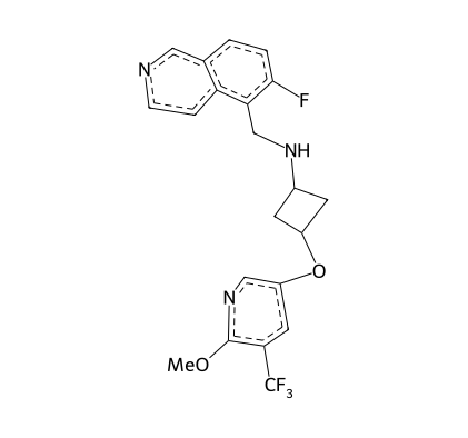 COc1ncc(OC2CC(NCc3c(F)ccc4cnccc34)C2)cc1C(F)(F)F